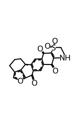 CC12CCCc3coc(c31)C(=O)c1cc3c(cc12)C(=O)C1=C(NCCS1(=O)=O)C3=O